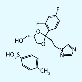 Cc1ccc(S(=O)(=O)O)cc1.OC[C@H]1CO[C@@](CCn2cncn2)(c2ccc(F)cc2F)O1